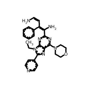 CCn1c(-c2ccncc2)nc2c(N3CCOCC3)nc(/C(N)=C(/C=C\N)c3ccccc3)nc21